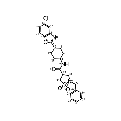 O=C(NC1CCC(c2nc3cc(Cl)ccc3o2)CC1)C1CN(Cc2ccccc2)S(=O)(=O)C1